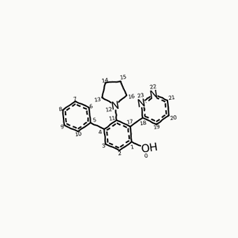 Oc1ccc(-c2ccccc2)c(N2CCCC2)c1-c1cccnn1